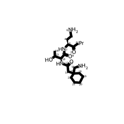 CC(C)C(=O)[C@H](CCN)NC(=O)[C@@H](NC(=O)CC1(CN)CCCCC1)C(C)O